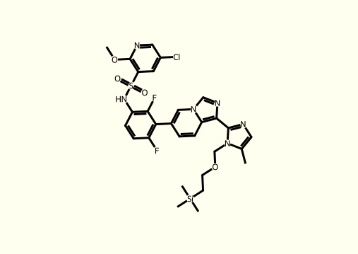 COc1ncc(Cl)cc1S(=O)(=O)Nc1ccc(F)c(-c2ccc3c(-c4ncc(C)n4COCC[Si](C)(C)C)ncn3c2)c1F